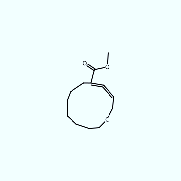 COC(=O)C1=C=CCCCCCCCCC1